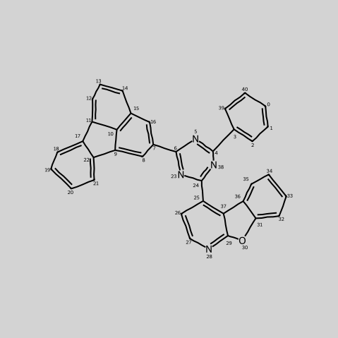 c1ccc(-c2nc(-c3cc4c5c(cccc5c3)-c3ccccc3-4)nc(-c3ccnc4oc5ccccc5c34)n2)cc1